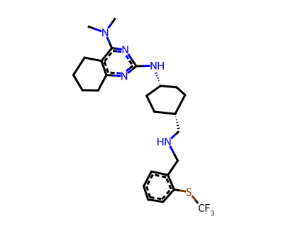 CN(C)c1nc(N[C@H]2CC[C@@H](CNCc3ccccc3SC(F)(F)F)CC2)nc2c1CCCC2